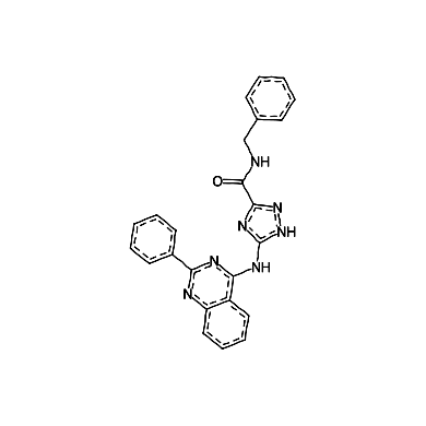 O=C(NCc1ccccc1)c1n[nH]c(Nc2nc(-c3ccccc3)nc3ccccc23)n1